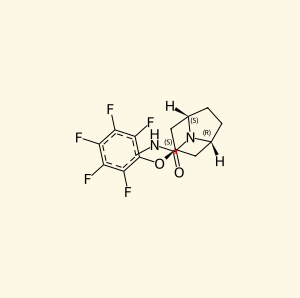 CNC(=O)N1[C@@H]2CC[C@H]1C[C@H](Oc1c(F)c(F)c(F)c(F)c1F)C2